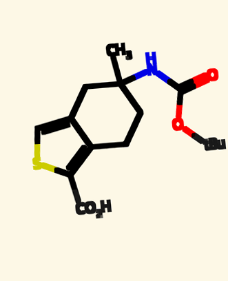 CC1(NC(=O)OC(C)(C)C)CCc2c(csc2C(=O)O)C1